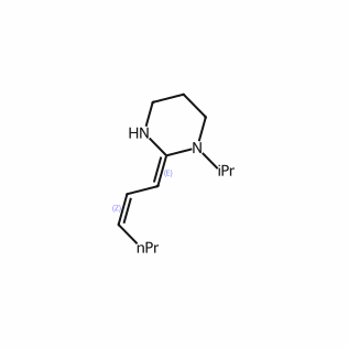 CCC/C=C\C=C1/NCCCN1C(C)C